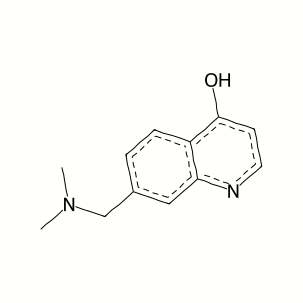 CN(C)Cc1ccc2c(O)ccnc2c1